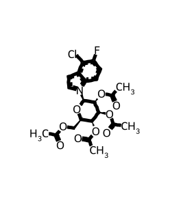 CC(=O)OC[C@H]1O[C@@H](n2ccc3c(Cl)c(F)ccc32)[C@H](OC(C)=O)[C@@H](OC(C)=O)[C@@H]1OC(C)=O